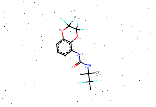 CC(F)(F)C(C)(NC(=O)Nc1cccc2c1OC(F)(F)C(F)(F)O2)C(F)(F)F